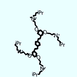 CC(C)CCC[N+](C)(C)CCCCOc1cc(/C=C/c2ccc(/C=C/c3cc(OCCCC[N+](C)(C)CCCC(C)C)cc(OCCCC[N+](C)(C)CCCC(C)C)c3)cc2)cc(OCCCC[N+](C)(C)CCCC(C)C)c1